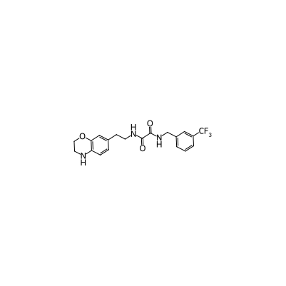 O=C(NCCc1ccc2c(c1)OCCN2)C(=O)NCc1cccc(C(F)(F)F)c1